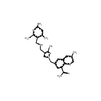 Cc1cnc2c(C(N)=O)cc(Cn3cc(CNCc4c(C)cc(N)nc4C)c(C#N)n3)cc2c1